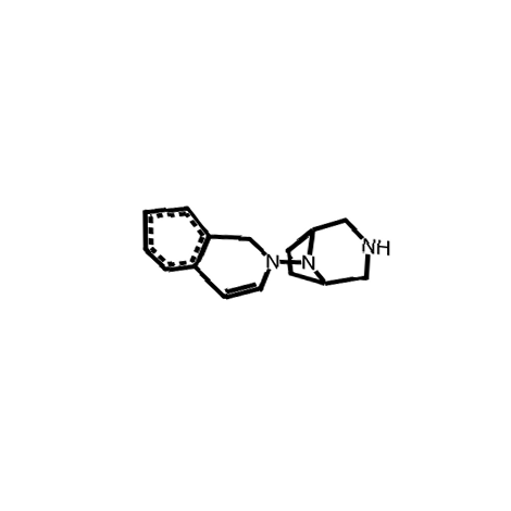 C1=CN(N2C3CCC2CNC3)Cc2ccccc21